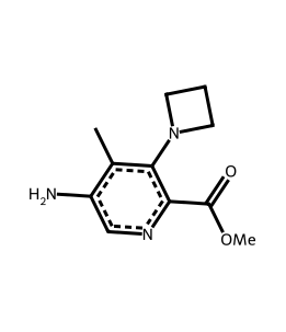 COC(=O)c1ncc(N)c(C)c1N1CCC1